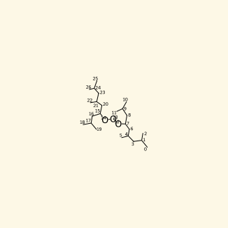 CC(C)CC(C)CC(CC(C)C)OOOC(CC(C)C)CC(C)CC(C)C